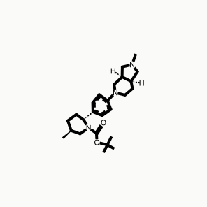 C[C@H]1CC[C@H](c2ccc(N3CC[C@@H]4CN(C)C[C@@H]4C3)cc2)N(C(=O)OC(C)(C)C)C1